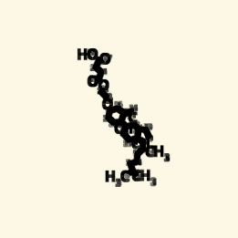 CC(C)CCC[C@@H](C)[C@H]1CCC2C3CC=C4C[C@@H](OCCOC(=O)CCC(=O)O)CC[C@]4(C)C3CC[C@@]21C